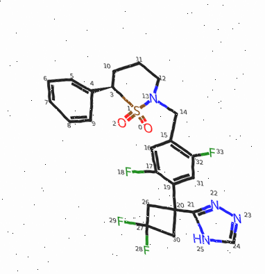 O=S1(=O)[C@@H](c2ccccc2)CCCN1Cc1cc(F)c(C2(c3nnc[nH]3)CC(F)(F)C2)cc1F